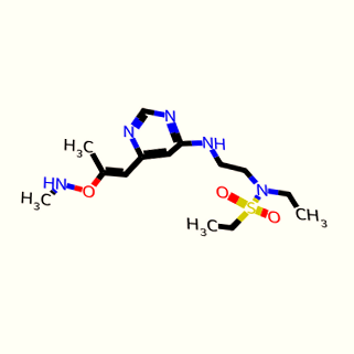 CCN(CCNc1cc(/C=C(\C)ONC)ncn1)S(=O)(=O)CC